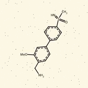 COc1cc(-c2ccc(S(C)(=N)=O)cc2)ccc1CN